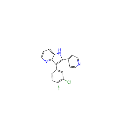 Fc1ccc(-c2c(-c3ccncc3)[nH]c3cccnc23)cc1Cl